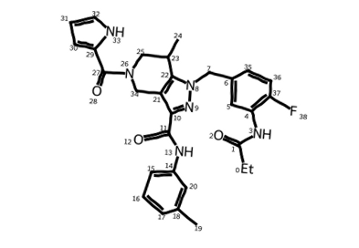 CCC(=O)Nc1cc(Cn2nc(C(=O)Nc3cccc(C)c3)c3c2C(C)CN(C(=O)c2ccc[nH]2)C3)ccc1F